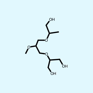 COC(COC(C)CO)COC(CO)CO